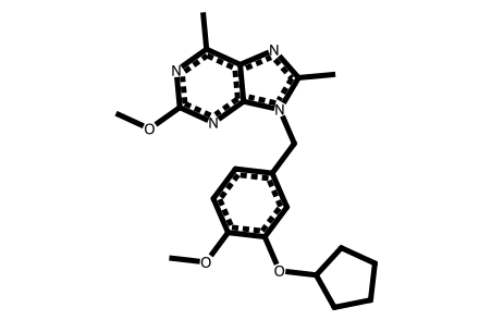 COc1nc(C)c2nc(C)n(Cc3ccc(OC)c(OC4CCCC4)c3)c2n1